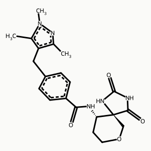 Cc1nn(C)c(C)c1Cc1ccc(C(=O)N[C@H]2CCOC[C@]23NC(=O)NC3=O)cc1